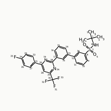 CC(C)(C)NS(=O)(=O)c1cccc(-c2cccc(-c3nc(-c4ccc(F)cc4)cc(C(F)(F)F)n3)c2)c1